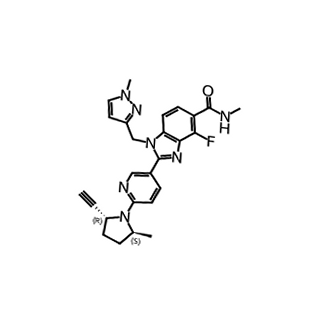 C#C[C@H]1CC[C@H](C)N1c1ccc(-c2nc3c(F)c(C(=O)NC)ccc3n2Cc2ccn(C)n2)cn1